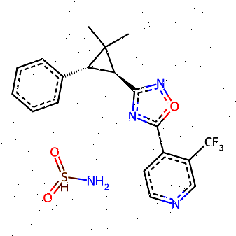 CC1(C)[C@@H](c2ccccc2)[C@@H]1c1noc(-c2ccncc2C(F)(F)F)n1.N[SH](=O)=O